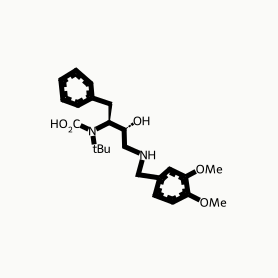 COc1ccc(CNC[C@@H](O)[C@H](Cc2ccccc2)N(C(=O)O)C(C)(C)C)cc1OC